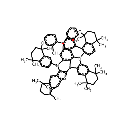 Cc1ccccc1N(c1ccccc1)c1cc2c3c(c1)N(c1ccc4c(c1)C(C)(C)CCC4(C)C)c1c(sc4cc5c(cc14)C1(C)CCC5(C)CC1)B3c1cc3c(cc1N2c1ccc2c(c1-c1ccccc1)C(C)(C)CCC2(C)C)C(C)(C)CCC3(C)C